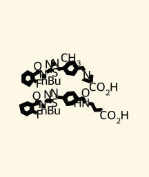 CCCCN(C(=O)c1ccccc1F)c1nnc(-c2ccc(C(=O)NCCCC(=O)O)cc2)s1.CCCCN(C(=O)c1ccccc1F)c1nnc(-c2ccc(CN3CC(C(=O)O)C3)cc2C)s1